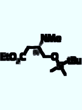 CCOC(=O)C[C@@H](CO[Si](C)(C)C(C)(C)C)NC